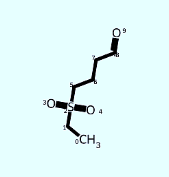 CCS(=O)(=O)CCC[C]=O